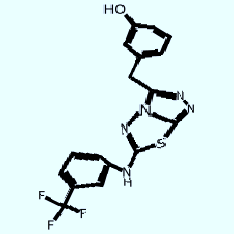 Oc1cccc(Cc2nnc3sc(Nc4cccc(C(F)(F)F)c4)nn23)c1